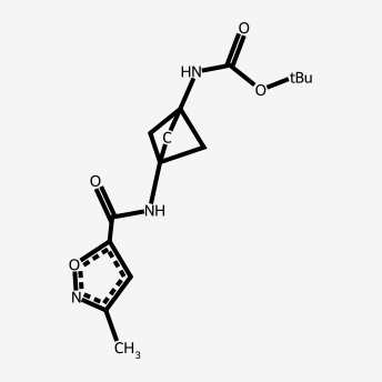 Cc1cc(C(=O)NC23CC(NC(=O)OC(C)(C)C)(C2)C3)on1